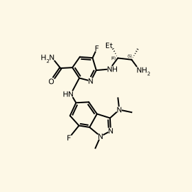 CC[C@@H](Nc1nc(Nc2cc(F)c3c(c2)c(N(C)C)nn3C)c(C(N)=O)cc1F)[C@H](C)N